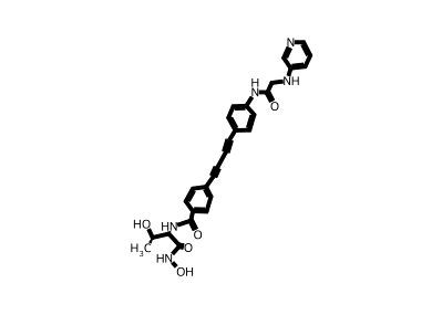 C[C@@H](O)[C@H](NC(=O)c1ccc(C#CC#Cc2ccc(NC(=O)CNc3cccnc3)cc2)cc1)C(=O)NO